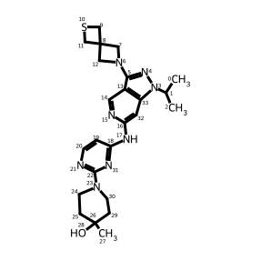 CC(C)n1nc(N2CC3(CSC3)C2)c2cnc(Nc3ccnc(N4CCC(C)(O)CC4)n3)cc21